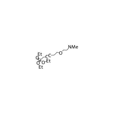 CCO[Si](CCCCCOCCNC)(OCC)OCC